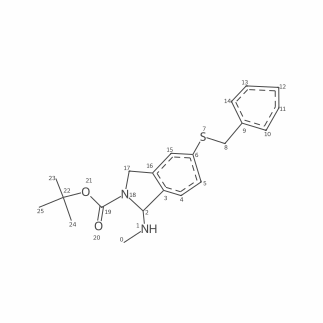 CNC1c2ccc(SCc3ccccc3)cc2CN1C(=O)OC(C)(C)C